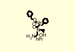 CCC[C@H](N)[C@@H](O)CN(C(=O)[C@H](Cc1ccccc1)NC(=O)OCc1ccccc1)C1CC1